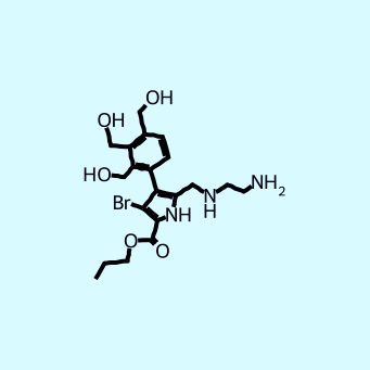 CCCOC(=O)c1[nH]c(CNCCN)c(-c2ccc(CO)c(CO)c2CO)c1Br